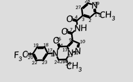 Cc1cc(C(=O)NC(=O)c2cnn3c2C(=O)N(c2ccc(C(F)(F)F)cc2)C[C@@H]3C)ccn1